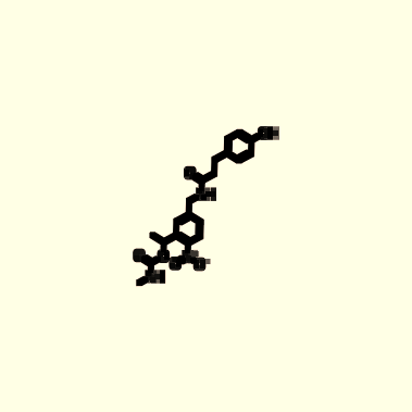 CNC(=O)OC(C)c1cc(CNC(=O)CCc2ccc(O)cc2)ccc1[N+](=O)[O-]